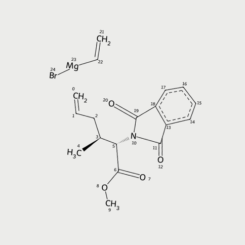 C=CC[C@H](C)[C@@H](C(=O)OC)N1C(=O)c2ccccc2C1=O.C=[CH][Mg][Br]